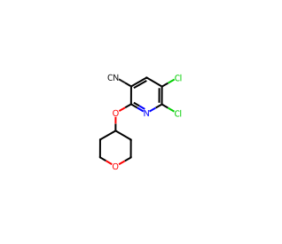 [C-]#[N+]c1cc(Cl)c(Cl)nc1OC1CCOCC1